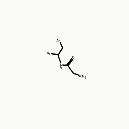 CNCC(=O)NC(CC(C)=O)C(C)=O